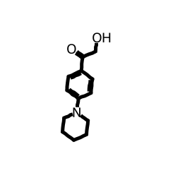 O=C(CO)c1ccc(N2CCCCC2)cc1